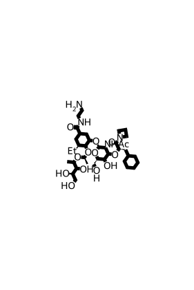 CC[C@@H]1CC(C(=O)NCCN)CC(O[C@@H]2O[C@@H](CO)C(O)C(O[C@@H](CC3CCCCC3)C(=O)N3CCC3)C2NC(C)=O)C1O[C@@H](C)OC(C)C(O)[C@H](O)CO